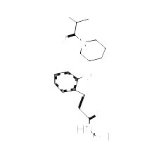 CC(C)C(=O)N1CCC[C@H](Oc2ccccc2/C=C/C(=O)NO)C1